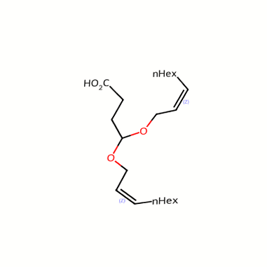 CCCCCC/C=C\COC(CCC(=O)O)OC/C=C\CCCCCC